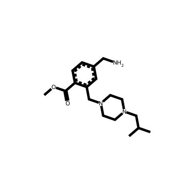 COC(=O)c1ccc(CN)cc1CN1CCN(C[C](C)C)CC1